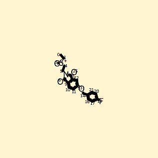 CC[S+]([O-])CCN1C(=O)c2ccc(OCc3ccc(F)cc3)cc2C1=O